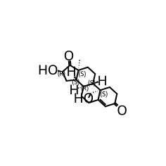 C[C@]12CC[C@H]3[C@@H](CCC4=CC(=O)CC[C@@]43CO)[C@@H]1C[C@@H](O)C2=O